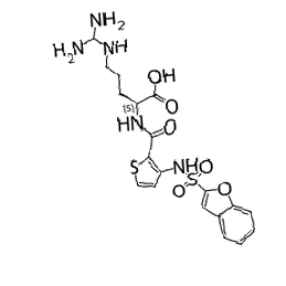 NC(N)NCCC[C@H](NC(=O)c1sccc1NS(=O)(=O)c1cc2ccccc2o1)C(=O)O